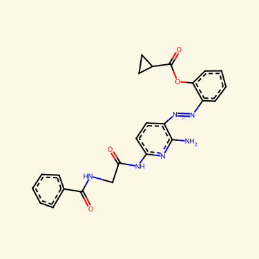 Nc1nc(NC(=O)CNC(=O)c2ccccc2)ccc1/N=N/c1ccccc1OC(=O)C1CC1